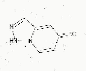 O=c1[c]cn2[nH]ncc2c1